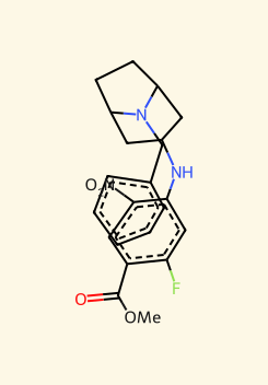 COC(=O)c1cc([N+](=O)[O-])c(NC2CC3CCC(C2)N3Cc2ccccc2)cc1F